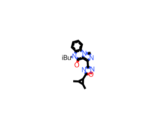 CCC(C)n1c(=O)c2c(-c3noc(C4C(C)C4C)n3)ncn2c2ccccc21